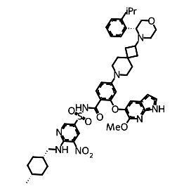 COc1nc2[nH]ccc2cc1Oc1cc(N2CCC3(CC2)CC(N2CCOC[C@H]2c2ccccc2C(C)C)C3)ccc1C(=O)NS(=O)(=O)c1cnc(NC[C@H]2CC[C@@H](C)CC2)c([N+](=O)[O-])c1